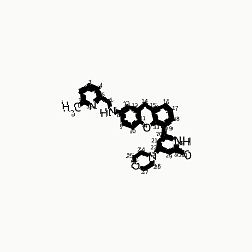 Cc1cccc(CNc2ccc3c(c2)Cc2cccc(-c4cc(N5CCOCC5)cc(=O)[nH]4)c2O3)n1